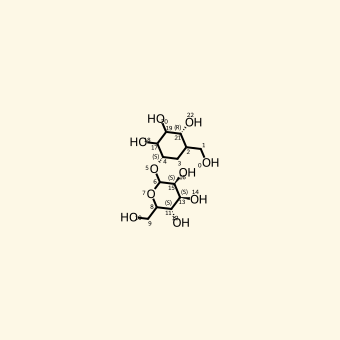 OCC1C[C@H](OC2OC(CO)[C@@H](O)[C@H](O)[C@@H]2O)C(O)C(O)[C@@H]1O